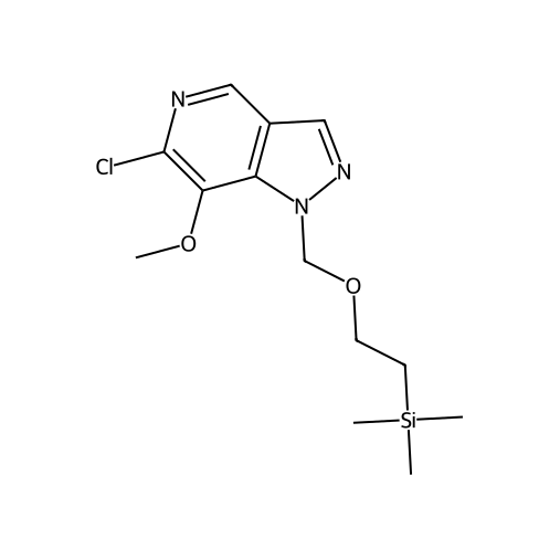 COc1c(Cl)ncc2cnn(COCC[Si](C)(C)C)c12